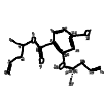 C=CCC(C)OC(=O)c1ccc(Cl)cc1O[C@@H](C)CC=C